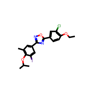 CCOc1ccc(-c2nc(-c3cc(C)c(OC(C)C)c(I)c3)no2)cc1Cl